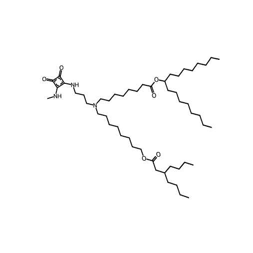 CCCCCCCCC(CCCCCCCC)OC(=O)CCCCCCCN(CCCCCCCCOC(=O)CC(CCCC)CCCC)CCCNc1c(NC)c(=O)c1=O